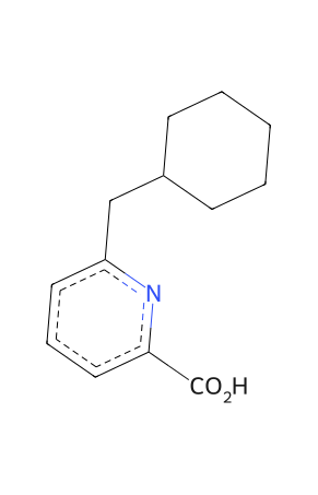 O=C(O)c1cccc(CC2CCCCC2)n1